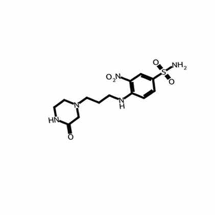 NS(=O)(=O)c1ccc(NCCCN2CCNC(=O)C2)c([N+](=O)[O-])c1